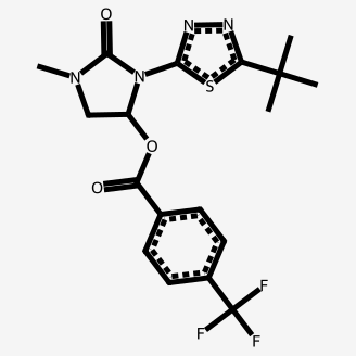 CN1CC(OC(=O)c2ccc(C(F)(F)F)cc2)N(c2nnc(C(C)(C)C)s2)C1=O